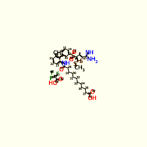 CSc1sc(C(=N)N)cc1S(=O)(=O)c1cccc(-c2c(C)cccc2NC(=O)CCCCCCCCCCC(=O)O)c1.O=C(O)C(F)(F)F